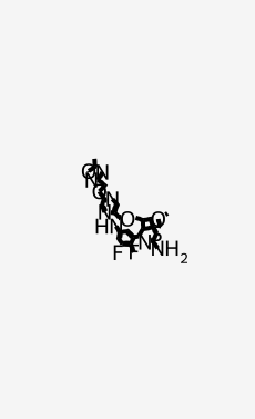 COC[C@]12CC(C)C1C(c1cc(NC(=O)c3cnc(OCc4noc(C)n4)cn3)cc(F)c1F)N=C(N)S2